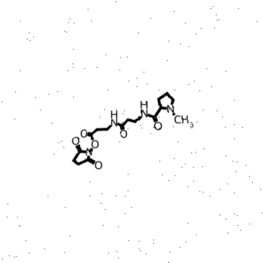 CN1CCCC1C(=O)NCCC(=O)NCCC(=O)ON1C(=O)CCC1=O